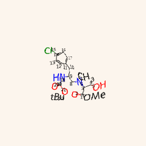 COC(=O)C(CO)N(C)CC(Cc1ccc(Cl)cc1)NC(=O)OC(C)(C)C